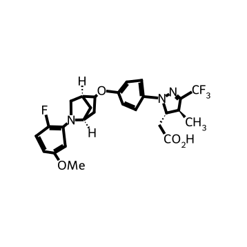 COc1ccc(F)c(N2C[C@@H]3C[C@H]2CC3Oc2ccc(N3N=C(C(F)(F)F)[C@@H](C)[C@@H]3CC(=O)O)cc2)c1